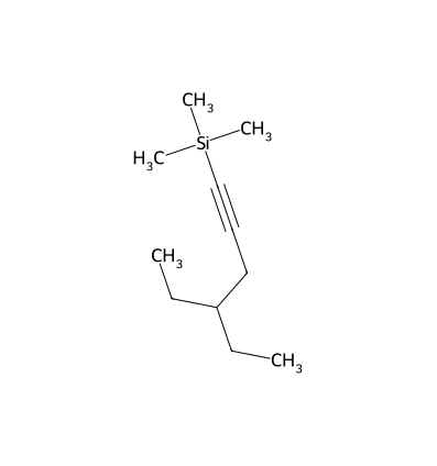 CCC(CC)CC#C[Si](C)(C)C